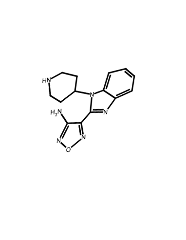 Nc1nonc1-c1nc2ccccc2n1C1CCNCC1